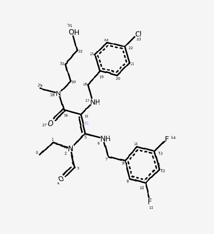 CCN(C=O)/C(NCc1cc(F)cc(F)c1)=C(/NCc1ccc(Cl)cc1)C(=O)N(C)CCCO